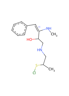 CN/C(=C/c1ccccc1)C(O)CNCC(C)SCl